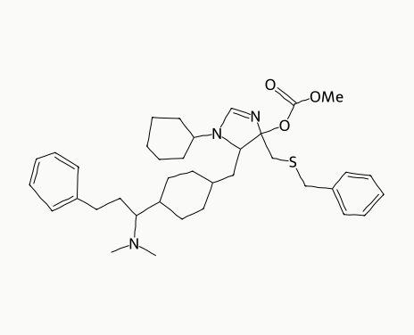 COC(=O)OC1(CSCc2ccccc2)N=CN(C2CCCCC2)C1CC1CCC(C(CCc2ccccc2)N(C)C)CC1